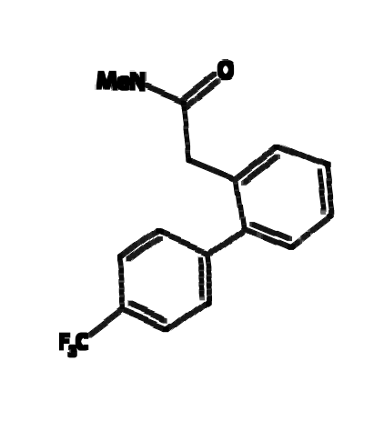 CNC(=O)Cc1ccccc1-c1ccc(C(F)(F)F)cc1